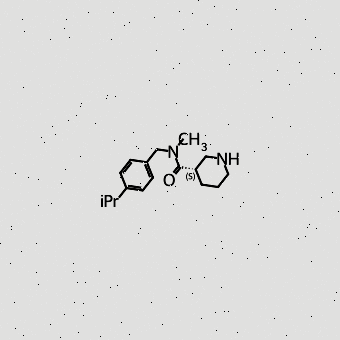 CC(C)c1ccc(CN(C)C(=O)[C@H]2CCCNC2)cc1